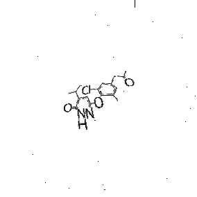 CC(=O)Cc1cc(C)c(Oc2cc(C(C)C)c(=O)[nH]n2)c(Cl)c1